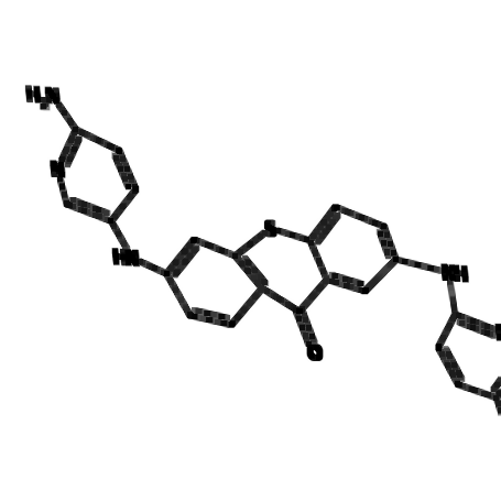 Nc1ccc(Nc2ccc3sc4cc(Nc5ccc(N)nc5)ccc4c(=O)c3c2)nc1